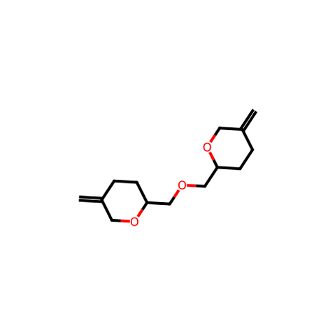 C=C1CCC(COCC2CCC(=C)CO2)OC1